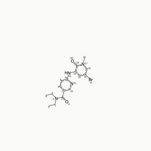 CCN(CC)C(=O)c1ccc(Nc2cc(Br)cn(C)c2=O)nc1